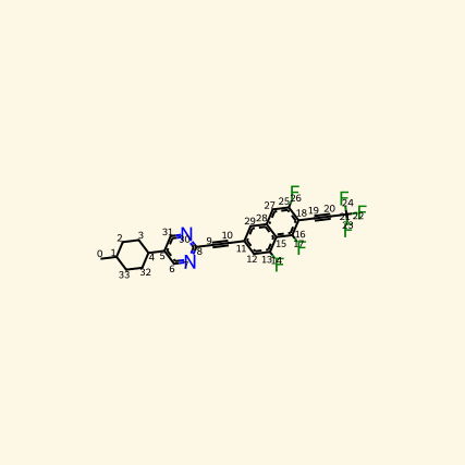 CC1CCC(c2cnc(C#Cc3cc(F)c4c(F)c(C#CC(F)(F)F)c(F)cc4c3)nc2)CC1